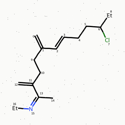 C=C(C=CCCC(Cl)CC)CCC(=C)/C(C)=N\CC